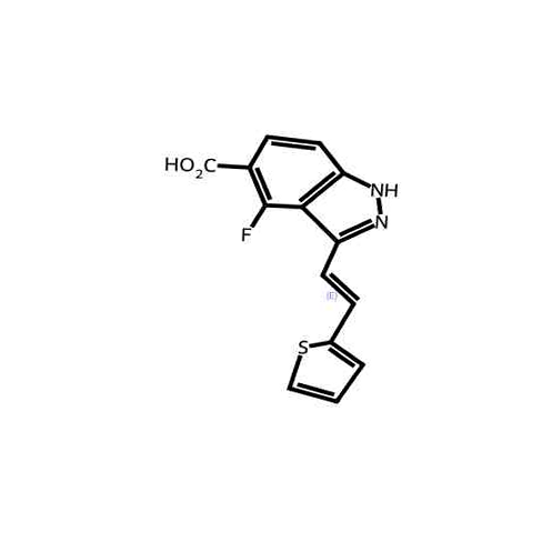 O=C(O)c1ccc2[nH]nc(/C=C/c3cccs3)c2c1F